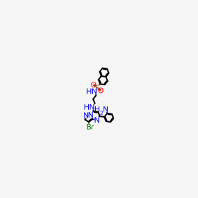 Nc1ccccc1-c1cc(NCCCNS(=O)(=O)c2ccc3ccccc3c2)n2ncc(Br)c2n1